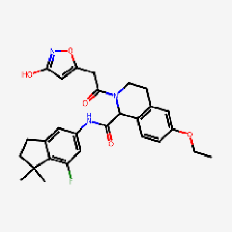 CCOc1ccc2c(c1)CCN(C(=O)Cc1cc(O)no1)C2C(=O)Nc1cc(F)c2c(c1)CCC2(C)C